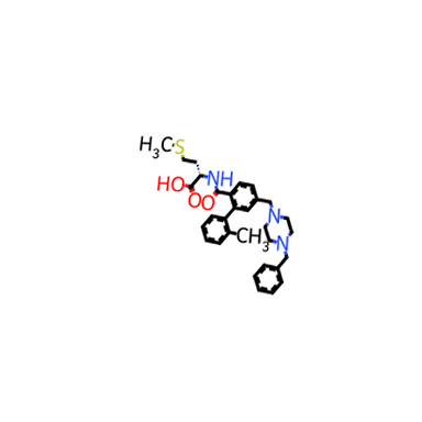 CSCC[C@H](NC(=O)c1ccc(CN2CCN(Cc3ccccc3)CC2)cc1-c1ccccc1C)C(=O)O